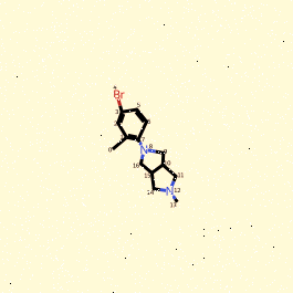 Cc1cc(Br)ccc1N1CC2CN(C)CC2C1